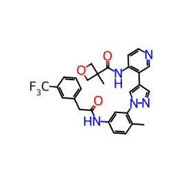 Cc1ccc(NC(=O)Cc2cccc(C(F)(F)F)c2)cc1-n1cc(-c2cnccc2NC(=O)C2(C)COC2)cn1